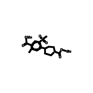 COC(=O)c1cc(S(C)(=O)=O)c(C2CCN(C(=O)OC(C)(C)C)CC2)cc1C